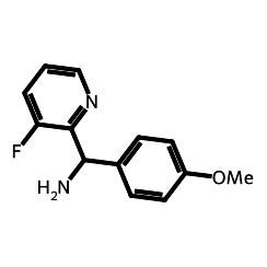 COc1ccc(C(N)c2ncccc2F)cc1